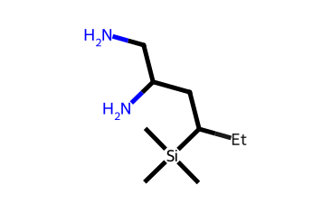 CCC(CC(N)CN)[Si](C)(C)C